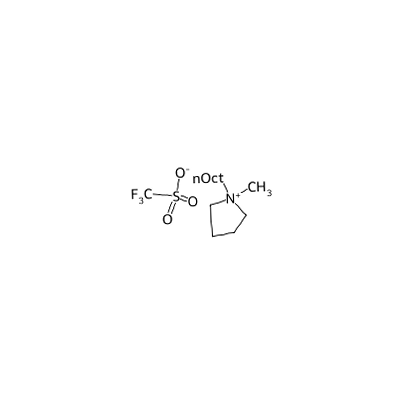 CCCCCCCC[N+]1(C)CCCC1.O=S(=O)([O-])C(F)(F)F